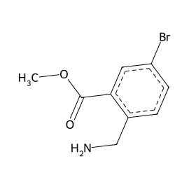 COC(=O)c1cc(Br)ccc1CN